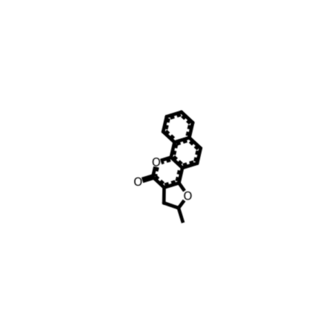 CC1Cc2c(c3ccc4ccccc4c3oc2=O)O1